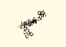 CC(C)[C@H](NC(=O)[C@]1(C)CSC(c2ccnc(CNC(=O)OC(C)(C)C)c2)=N1)C(=O)NC(C=CCCSC(c1ccccc1)(c1ccccc1)c1ccccc1)CC(=O)O